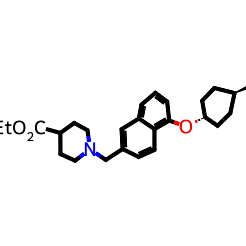 CCOC(=O)C1CCN(Cc2ccc3c(O[C@H]4CC[C@H](C)CC4)cccc3c2)CC1